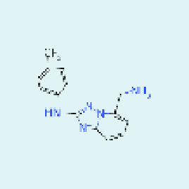 NCc1cccc2nc(Nc3ccc(C(F)(F)F)cc3)nn12